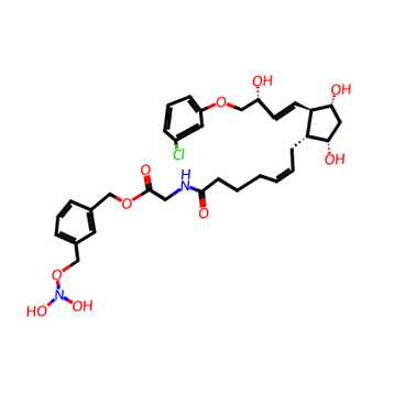 O=C(CCC/C=C\C[C@@H]1[C@@H](/C=C/[C@@H](O)COc2cccc(Cl)c2)[C@H](O)C[C@@H]1O)NCC(=O)OCc1cccc(CON(O)O)c1